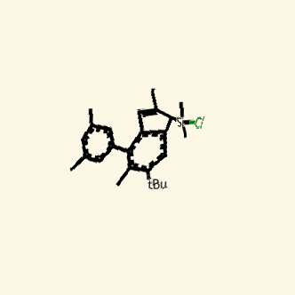 CC1=Cc2c(cc(C(C)(C)C)c(C)c2-c2cc(C)cc(C)c2)C1[Si](C)(C)Cl